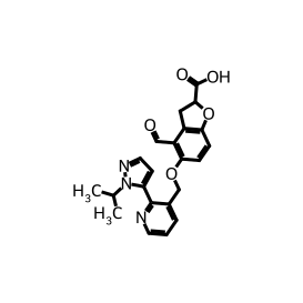 CC(C)n1nccc1-c1ncccc1COc1ccc2c(c1C=O)CC(C(=O)O)O2